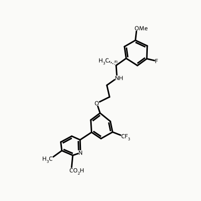 COc1cc(F)cc([C@@H](C)NCCOc2cc(-c3ccc(C)c(C(=O)O)n3)cc(C(F)(F)F)c2)c1